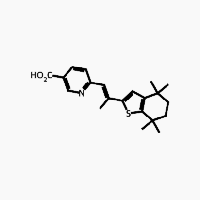 C/C(=C\c1ccc(C(=O)O)cn1)c1cc2c(s1)C(C)(C)CCC2(C)C